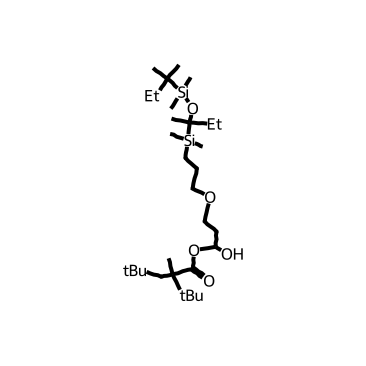 CCC(C)(O[Si](C)(C)C(C)(C)CC)[Si](C)(C)CCCOCCC(O)OC(=O)C(C)(CC(C)(C)C)C(C)(C)C